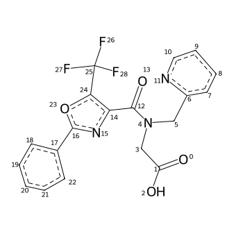 O=C(O)CN(Cc1ccccn1)C(=O)c1nc(-c2ccccc2)oc1C(F)(F)F